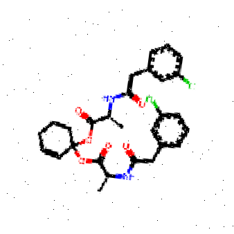 C[C@H](NC(=O)Cc1cccc(Cl)c1)C(=O)OC1(OC(=O)[C@H](C)NC(=O)Cc2cccc(Cl)c2)C=CCCC1